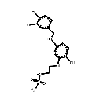 CS(=O)(=O)NCCNc1nc(NCc2ccc(Cl)c(Cl)c2)ncc1N